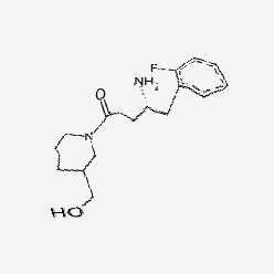 N[C@@H](CC(=O)N1CCCC(CO)C1)Cc1ccccc1F